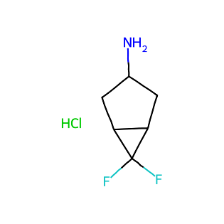 Cl.NC1CC2C(C1)C2(F)F